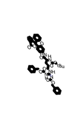 CC(C)(C)OC(=O)NC(CCCN/C(=N/C(=O)OCc1ccccc1)NC(=O)OCc1ccccc1)C(=O)Nc1ccc2c(c1)Oc1ccccc1C21OC(=O)c2ccccc21